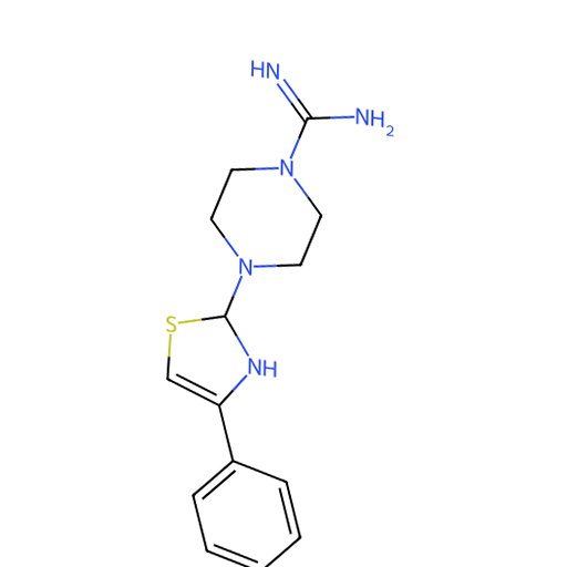 N=C(N)N1CCN(C2NC(c3ccccc3)=CS2)CC1